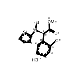 CCN(c1cccs1)[C@@H](C(=O)OC)c1ccccc1Cl.Cl